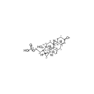 C[C@@H]1CC2=CC(=O)CC[C@@H]2[C@H]2CC[C@@]3(C)[C@@H]([C@H]4C[C@H]4[C@@]3(O)CCOC(=O)O)[C@@H]21